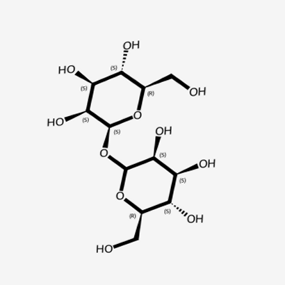 OC[C@H]1O[C@@H](OC2O[C@H](CO)[C@@H](O)[C@H](O)[C@@H]2O)[C@@H](O)[C@@H](O)[C@@H]1O